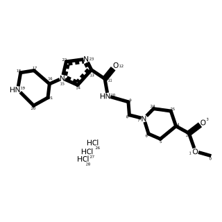 COC(=O)C1CCN(CCNC(=O)c2cn(C3CCNCC3)cn2)CC1.Cl.Cl.Cl